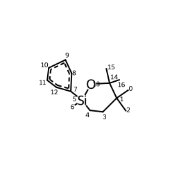 CC1(C)CC[Si](C)(c2ccccc2)OC1(C)C